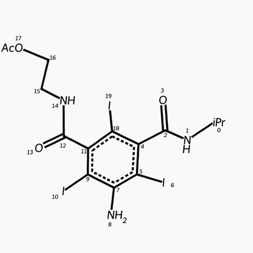 [CH2]C([CH2])NC(=O)c1c(I)c(N)c(I)c(C(=O)NCCOC(C)=O)c1I